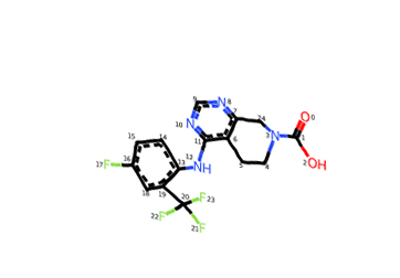 O=C(O)N1CCc2c(ncnc2Nc2ccc(F)cc2C(F)(F)F)C1